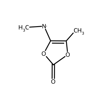 C[N]c1oc(=O)oc1C